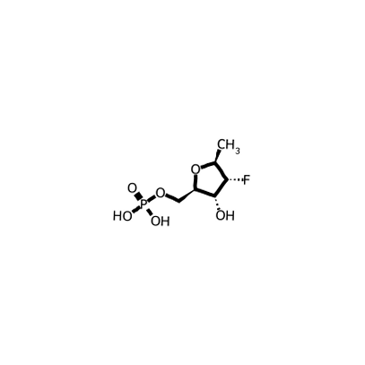 C[C@@H]1O[C@H](COP(=O)(O)O)[C@@H](O)[C@H]1F